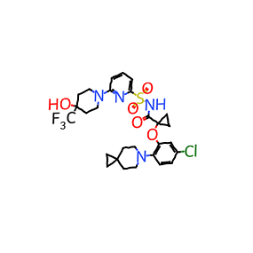 O=C(NS(=O)(=O)c1cccc(N2CCC(O)(C(F)(F)F)CC2)n1)C1(Oc2cc(Cl)ccc2N2CCC3(CC2)CC3)CC1